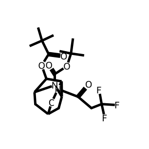 CC(C)(C)OC(=O)N1C2CC3CC1C(C2OC(=O)C(C)(C)C)N(C(=O)CC(F)(F)F)C3